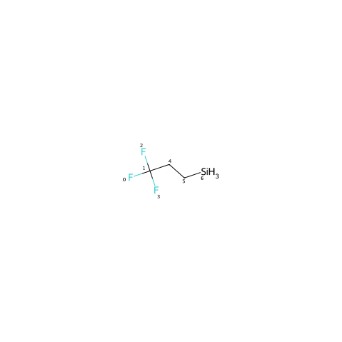 FC(F)(F)CC[SiH3]